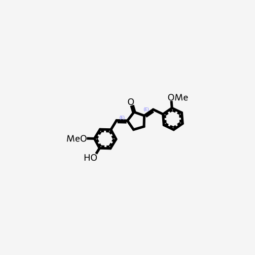 COc1cc(/C=C2\CC/C(=C\c3ccccc3OC)C2=O)ccc1O